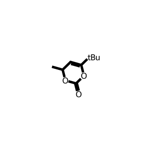 CC1C=C(C(C)(C)C)OC(=O)O1